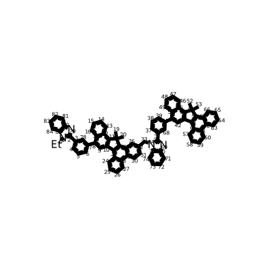 CCn1c(-c2cccc(-c3cc4c(c5ccccc35)C(C)(C)c3c-4c4ccccc4c4ccc(Cn5c(-c6cccc(-c7cc8c(c9ccccc79)C(C)(C)c7c-8c8ccccc8c8ccccc78)c6)nc6ccccc65)cc34)c2)nc2ccccc21